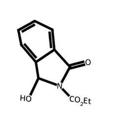 CCOC(=O)N1C(=O)c2ccccc2C1O